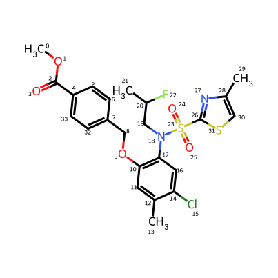 COC(=O)c1ccc(COc2cc(C)c(Cl)cc2N(CC(C)F)S(=O)(=O)c2nc(C)cs2)cc1